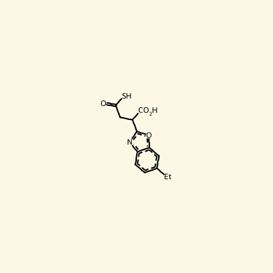 CCc1ccc2nc(C(CC(=O)S)C(=O)O)oc2c1